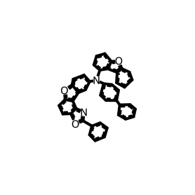 c1ccc(-c2ccc(N(c3ccc4oc5ccc6oc(-c7ccccc7)nc6c5c4c3)c3cccc4oc5ccccc5c34)cc2)cc1